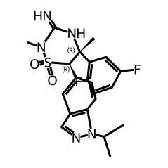 CC(C)n1ncc2cc([C@@H]3[C@@](C)(c4cc(F)ccc4F)NC(=N)N(C)S3(=O)=O)ccc21